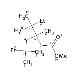 CCC(C)(C)CC(C)(CC(=O)OC)C(C)(C)CC